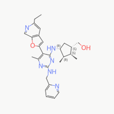 CCc1cc2cc(-c3c(C)nc(NCc4ccccn4)nc3N[C@@H]3C[C@H](CO)[C@@H](C)[C@H]3C)oc2cn1